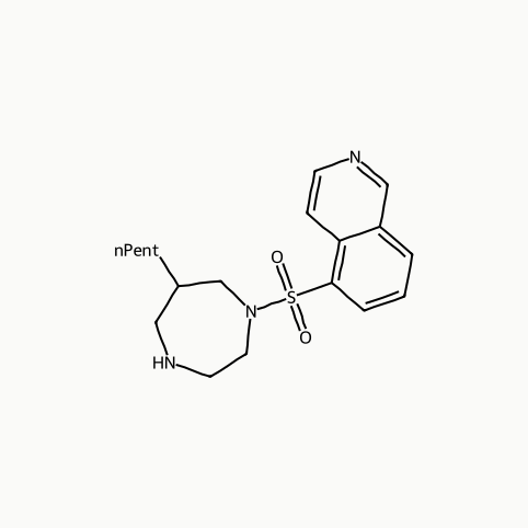 CCCCCC1CNCCN(S(=O)(=O)c2cccc3cnccc23)C1